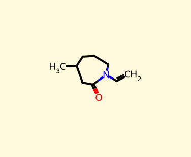 C=CN1CCCC(C)CC1=O